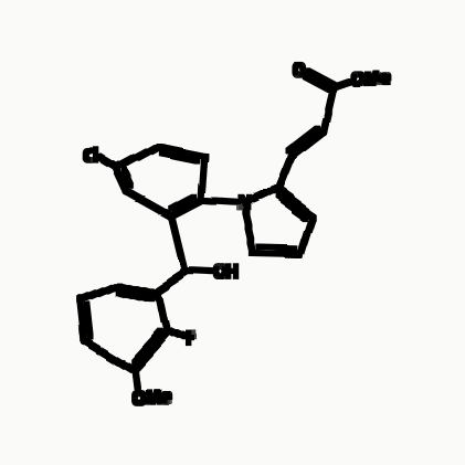 COC(=O)/C=C/c1cccn1-c1ccc(Cl)cc1C(O)c1cccc(OC)c1F